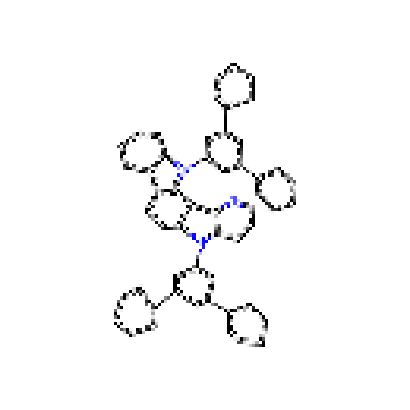 c1ccc(-c2cc(-c3ccccc3)cc(-n3c4cccnc4c4c3ccc3c5ccccc5n(-c5cc(-c6ccccc6)cc(-c6ccccc6)c5)c34)c2)cc1